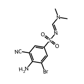 CN(C)C=NS(=O)(=O)c1cc(Br)c(N)c(C#N)c1